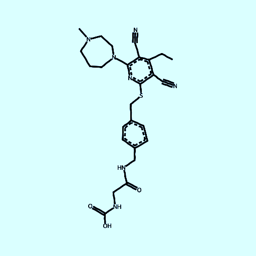 CCc1c(C#N)c(SCc2ccc(CNC(=O)CNC(=O)O)cc2)nc(N2CCCN(C)CC2)c1C#N